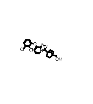 Cc1c(Cl)cccc1Oc1cccn2c(C34CCC(CO)(CC3)C4)nnc12